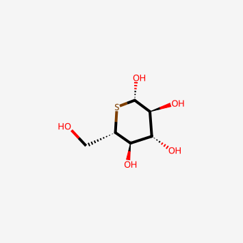 OC[C@@H]1S[C@H](O)[C@@H](O)[C@H](O)[C@H]1O